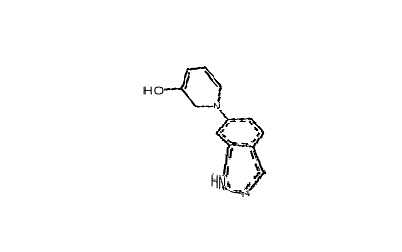 OC1=CC=CN(c2ccc3cn[nH]c3c2)C1